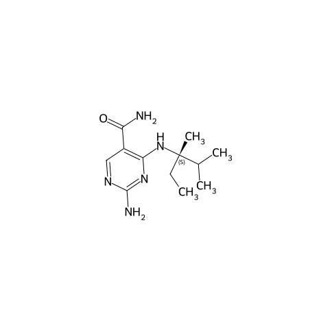 CC[C@](C)(Nc1nc(N)ncc1C(N)=O)C(C)C